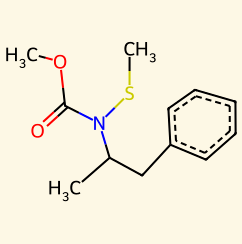 COC(=O)N(SC)C(C)Cc1ccccc1